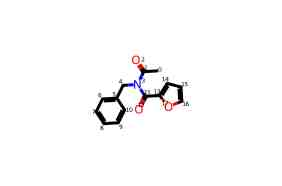 CC(=O)N(Cc1ccccc1)C(=O)c1ccco1